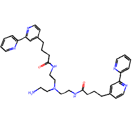 NCCN(CCNC(=O)CCCc1ccnc(-c2ccccn2)c1)CCNC(=O)CCCc1ccnc(-c2ccccn2)c1